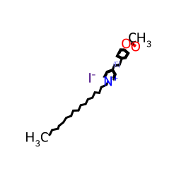 CCCCCCCCCCCCCCCCCC[n+]1ccc(/C=C/c2ccc(OC(C)=O)cc2)cc1.[I-]